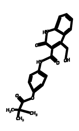 CC(C)(C)C(=O)Oc1ccc(NC(=O)c2c(CO)c3ccccc3[nH]c2=O)cc1